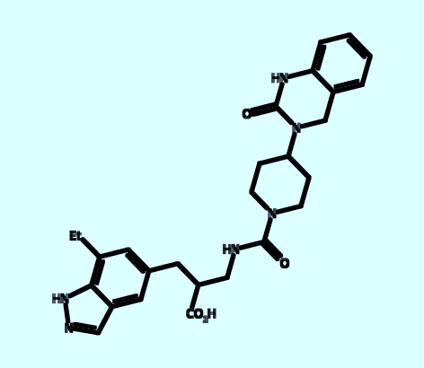 CCc1cc(CC(CNC(=O)N2CCC(N3Cc4ccccc4NC3=O)CC2)C(=O)O)cc2cn[nH]c12